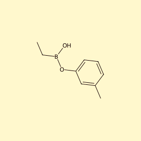 CCB(O)Oc1cccc(C)c1